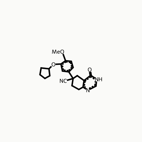 COc1ccc(C2(C#N)CCc3nc[nH]c(=O)c3C2)cc1OC1CCCC1